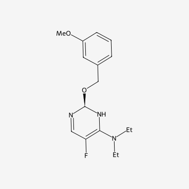 CCN(CC)C1=C(F)C=N[C@@H](OCc2cccc(OC)c2)N1